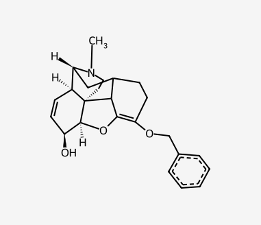 CN1CC[C@@]23C4C5=C(OCc6ccccc6)CCC4C[C@@H]1[C@@H]2C=C[C@H](O)[C@@H]3O5